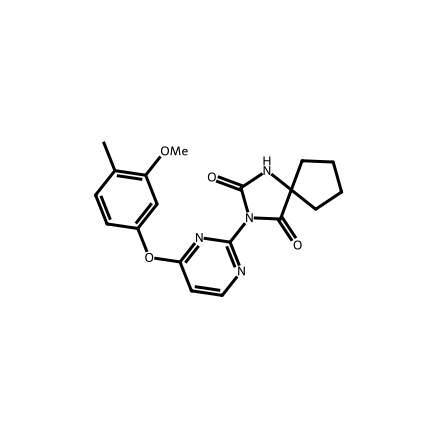 COc1cc(Oc2ccnc(N3C(=O)NC4(CCCC4)C3=O)n2)ccc1C